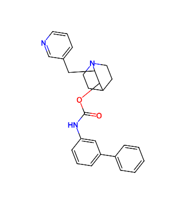 O=C(Nc1cccc(-c2ccccc2)c1)OC1C2CCN(CC2)C1Cc1cccnc1